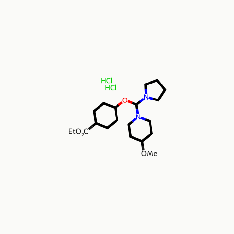 CCOC(=O)C1CCC(OC(N2CCCC2)N2CCC(OC)CC2)CC1.Cl.Cl